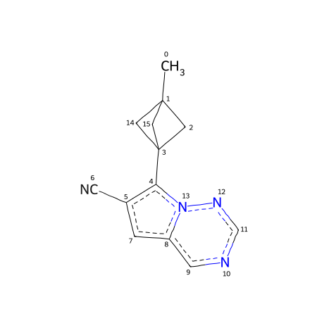 CC12CC(c3c(C#N)cc4cncnn34)(C1)C2